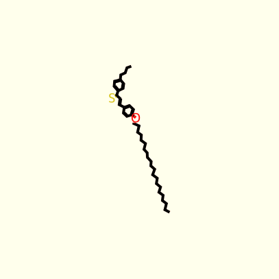 CCCCCCCCCCCCCCCCCCCCCCOc1ccc(C=CC(=S)c2ccc(CCCC)cc2)cc1